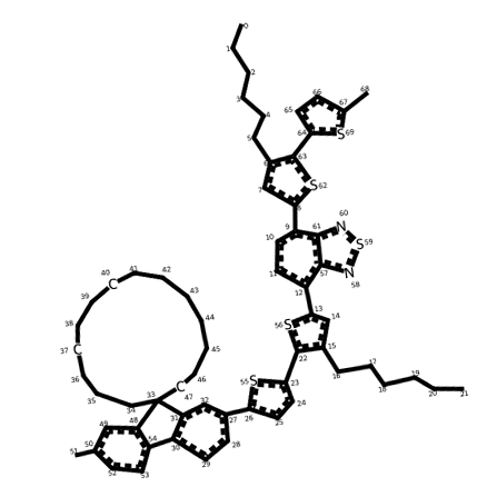 CCCCCCc1cc(-c2ccc(-c3cc(CCCCCC)c(-c4ccc(-c5ccc6c(c5)C5(CCCCCCCCCCCCCC5)c5cc(C)ccc5-6)s4)s3)c3nsnc23)sc1-c1ccc(C)s1